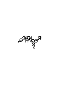 C=CCOCc1cc(Nc2nccc(N3CCCC(COCC=C)C3)n2)ccc1OCCN1CCCC1